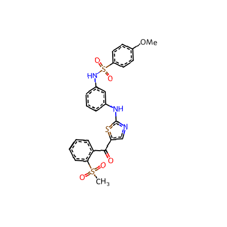 COc1ccc(S(=O)(=O)Nc2cccc(Nc3ncc(C(=O)c4ccccc4S(C)(=O)=O)s3)c2)cc1